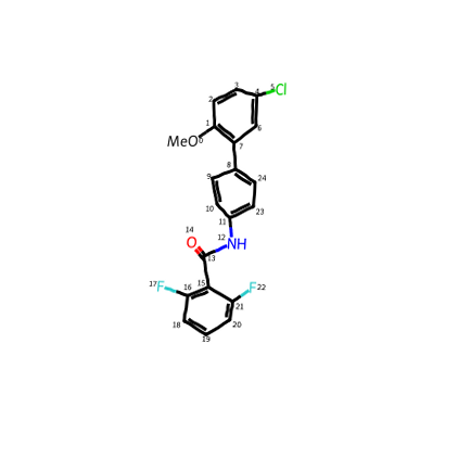 COc1ccc(Cl)cc1-c1ccc(NC(=O)c2c(F)cccc2F)cc1